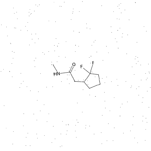 [CH2]NC(=O)CC1CCCC1(F)F